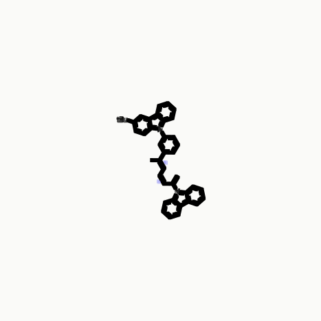 C=C(/C=C\C=C(/C)c1cccc(-n2c3ccccc3c3cc(C(C)(C)C)ccc32)c1)n1c2ccccc2c2ccccc21